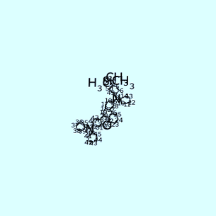 C[Si](C)(C)c1ccc(N(c2ccccc2)c2ccc3cc4c5c(cccc5c3c2)Oc2cc(N(c3ccccc3)c3ccccc3)ccc2-4)cc1